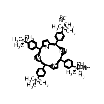 C[N+](C)(C)c1ccc(-c2c3nc(c(-c4ccc([N+](C)(C)C)cc4)c4ccc([nH]4)c(-c4ccc([N+](C)(C)C)cc4)c4nc(c(-c5ccc([N+](C)(C)C)cc5)c5ccc2[nH]5)C=C4)C=C3)cc1.[Br-].[Br-].[Br-].[Br-]